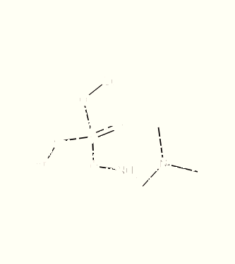 CCOP(=O)(ON)OCC.CN(C)C